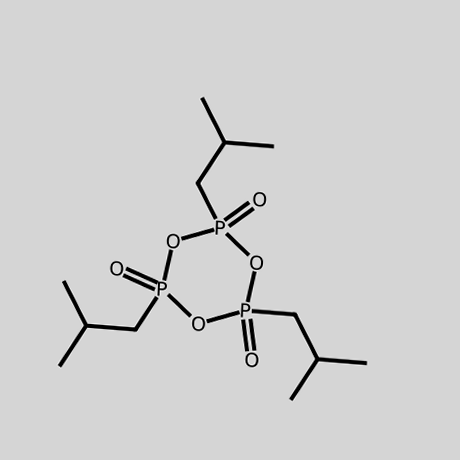 CC(C)CP1(=O)OP(=O)(CC(C)C)OP(=O)(CC(C)C)O1